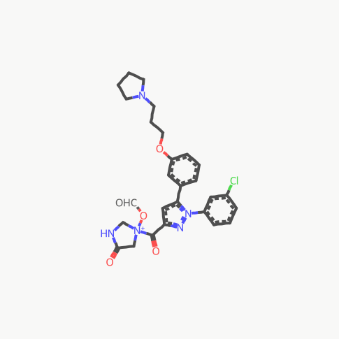 O=CO[N+]1(C(=O)c2cc(-c3cccc(OCCCN4CCCC4)c3)n(-c3cccc(Cl)c3)n2)CNC(=O)C1